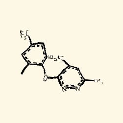 Cc1cc(C(F)(F)F)ccc1Oc1nnc(C(F)(F)F)cc1C(=O)O